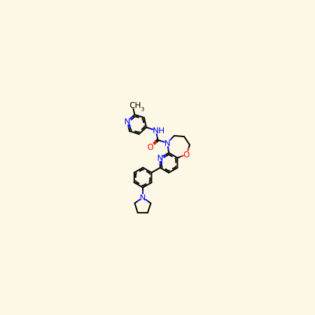 Cc1cc(NC(=O)N2CCCOc3ccc(-c4cccc(N5CCCC5)c4)nc32)ccn1